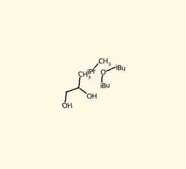 CC(C)C.CC(O)CO.CCC(C)OC(C)CC